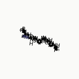 C=C/C(CC(=O)Nc1nnc([C@H]2CCC[C@H](c3nnc(NC(=O)Cc4cccc(NC5CC(F)(F)C5)n4)s3)C2)s1)=N\C(=C/C)NC1CC(F)(F)C1